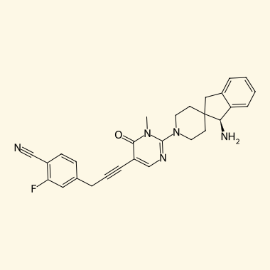 Cn1c(N2CCC3(CC2)Cc2ccccc2[C@H]3N)ncc(C#CCc2ccc(C#N)c(F)c2)c1=O